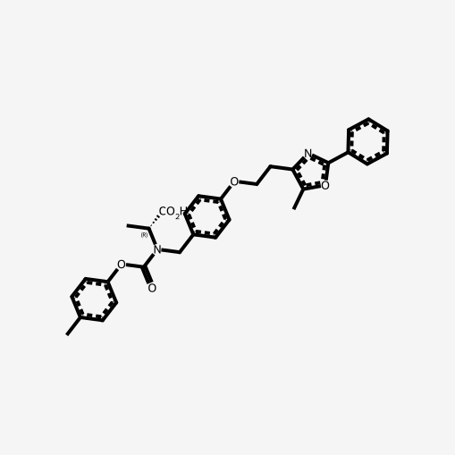 Cc1ccc(OC(=O)N(Cc2ccc(OCCc3nc(-c4ccccc4)oc3C)cc2)[C@H](C)C(=O)O)cc1